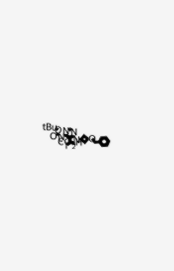 CC(C)(C)OC(=O)N(C(=O)O)c1ncnc2c1c(I)cn2C1CC(OCc2ccccc2)C1